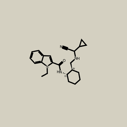 CCn1c(C(=O)N[C@H]2CCCC[C@@H]2CNC(C#N)C2CC2)cc2ccccc21